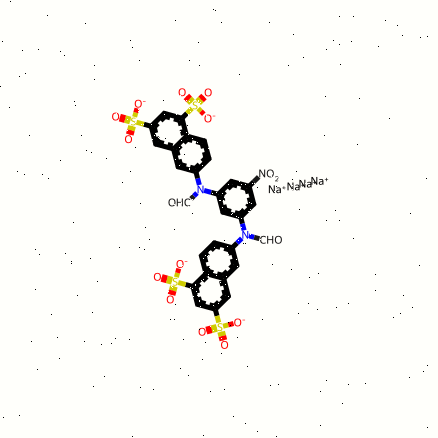 O=CN(c1cc(N(C=O)c2ccc3c(S(=O)(=O)[O-])cc(S(=O)(=O)[O-])cc3c2)cc([N+](=O)[O-])c1)c1ccc2c(S(=O)(=O)[O-])cc(S(=O)(=O)[O-])cc2c1.[Na+].[Na+].[Na+].[Na+]